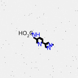 Cn1cc(-c2ccc(CNC(=O)O)cn2)cn1